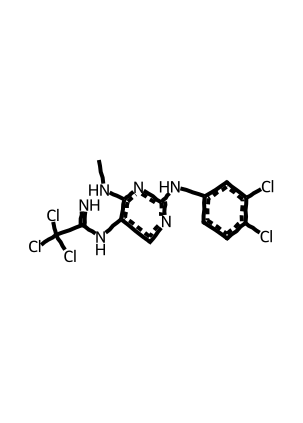 CNc1nc(Nc2ccc(Cl)c(Cl)c2)ncc1NC(=N)C(Cl)(Cl)Cl